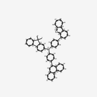 CC1(C)c2ccccc2-c2ccc(N(c3ccc(-c4cc5ccccc5c5ccccc45)cc3)c3ccc(-c4cccc5c4oc4ccccc45)cc3)cc21